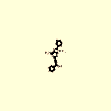 Cn1c(-c2cccc(F)c2)nc2c(N)nc(C#CC(O)c3ccccc3)nc21